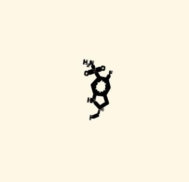 NS(=O)(=O)c1cc2c(cc1F)C[C@H](CF)N2